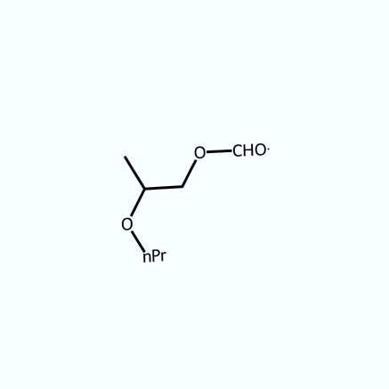 CCCOC(C)CO[C]=O